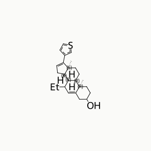 CCC1C=C2CC(O)CC[C@]2(C)[C@@H]2CC[C@]3(C)C(c4ccsc4)=CC[C@H]3[C@H]12